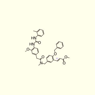 COC(=O)/C=C/c1cc(CN(C)C(=O)Cc2ccc(NC(=O)Nc3ccccc3C)c(OC)c2)ccc1OCc1ccccc1